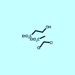 CCOC(=O)CCO.CCOC(C)=O.ClCCl